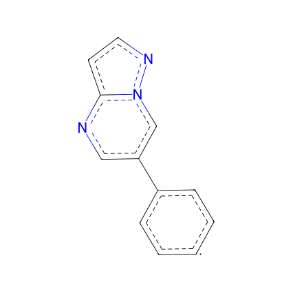 [c]1ccc(-c2cnc3ccnn3c2)cc1